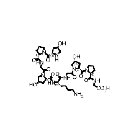 NCCCC[C@H](NC(=O)[C@@H]1C[C@@H](O)CN1C(=O)CNC(=O)[C@@H]1CCCN1C(=O)[C@@H]1C[C@@H](O)CN1)C(=O)NCC(=O)N1C[C@H](O)C[C@H]1C(=O)N1CCC[C@H]1C(=O)NCC(=O)O